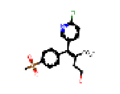 CS(=O)(=O)c1ccc(C(=C(CCO)C(=O)O)c2ccc(Cl)nc2)cc1